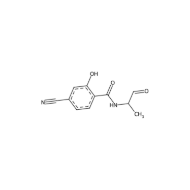 CC(C=O)NC(=O)c1ccc(C#N)cc1O